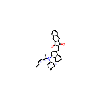 C#C/C=C\C(=C/C)N(/C(C)=C/C=C\C=C)c1ccc(C=C2C(=O)C3C=c4ccccc4=CC3C2=O)c2ccccc12